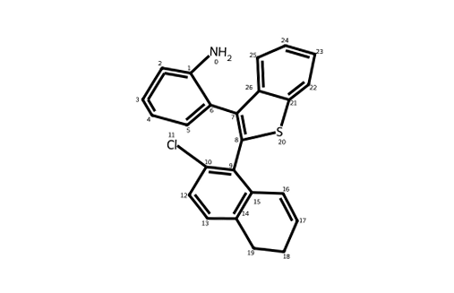 NC1=C=C=CC=C1c1c(-c2c(Cl)ccc3c2C=CCC3)sc2ccccc12